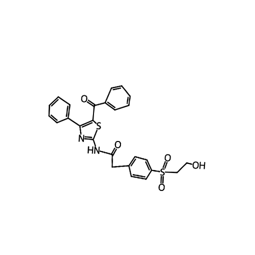 O=C(Cc1ccc(S(=O)(=O)CCO)cc1)Nc1nc(-c2ccccc2)c(C(=O)c2ccccc2)s1